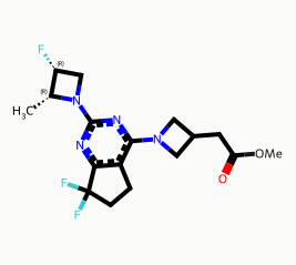 COC(=O)CC1CN(c2nc(N3C[C@@H](F)[C@H]3C)nc3c2CCC3(F)F)C1